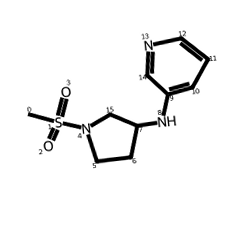 CS(=O)(=O)N1CCC(Nc2cccnc2)C1